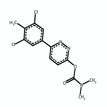 Cc1c(Cl)cc(-c2ccc(OC(=O)N(C)C)nn2)cc1Cl